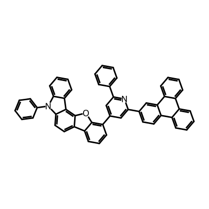 c1ccc(-c2cc(-c3cccc4c3oc3c4ccc4c3c3ccccc3n4-c3ccccc3)cc(-c3ccc4c5ccccc5c5ccccc5c4c3)n2)cc1